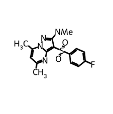 CNc1nn2c(C)cc(C)nc2c1S(=O)(=O)c1ccc(F)cc1